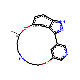 C[C@H]1CCNCCOc2cncc(c2)-c2n[nH]c3ccc(cc23)O1